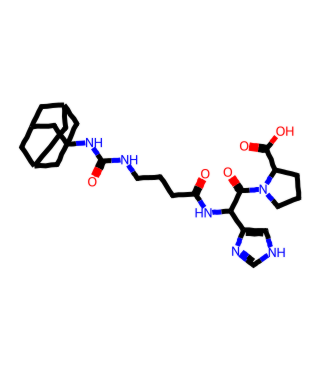 O=C(CCCNC(=O)NC12CC3CC(CC(C3)C1)C2)NC(C(=O)N1CCCC1C(=O)O)c1c[nH]cn1